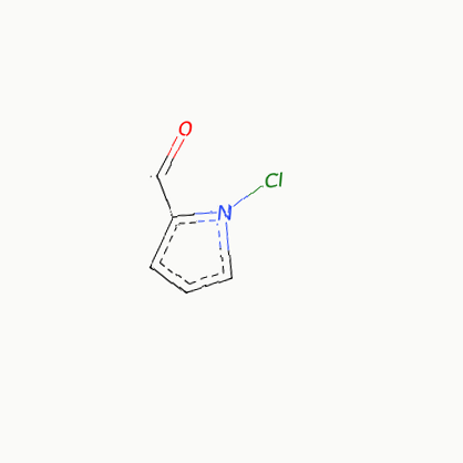 O=[C]c1cccn1Cl